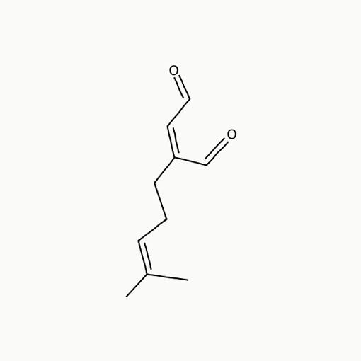 CC(C)=CCCC(C=O)=CC=O